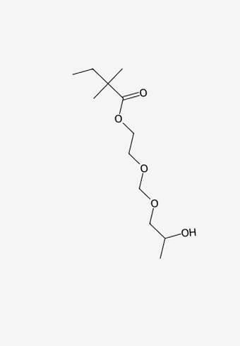 CCC(C)(C)C(=O)OCCOCOCC(C)O